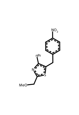 CCCc1nc(COC)sc1Cc1ccc([N+](=O)[O-])cc1